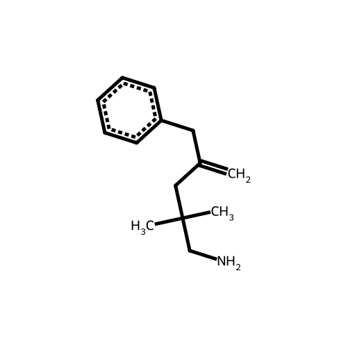 C=C(Cc1ccccc1)CC(C)(C)CN